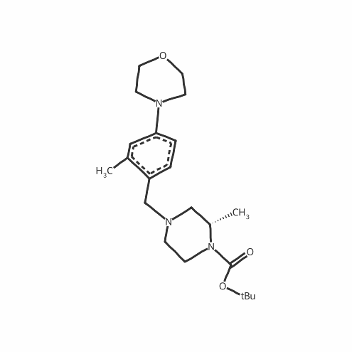 Cc1cc(N2CCOCC2)ccc1CN1CCN(C(=O)OC(C)(C)C)[C@@H](C)C1